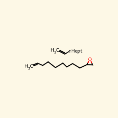 C=CCCCCCCC.C=CCCCCCCCC1CO1